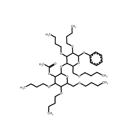 CCCCOCC1OC(OC2C(COCCCC)OC(Sc3ccccc3)C(OCCCC)C2OCCCC)C(OC(C)=O)C(OCCCC)C1OCCCC